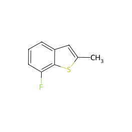 Cc1cc2cccc(F)c2s1